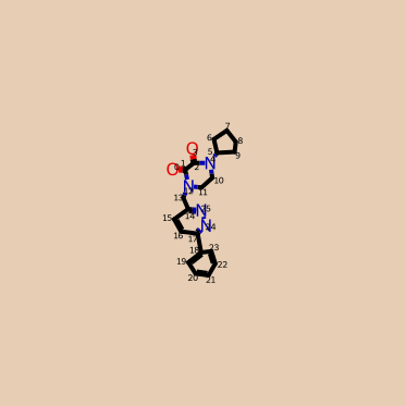 O=C1C(=O)N(C2CCCC2)CCN1Cc1ccc(-c2ccccc2)nn1